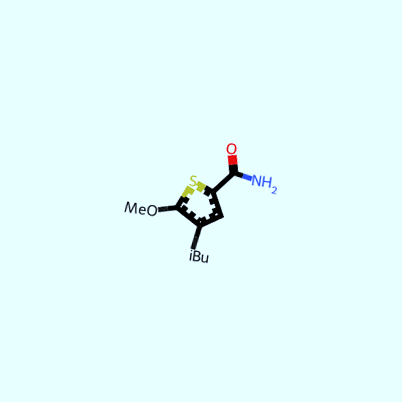 CCC(C)c1cc(C(N)=O)sc1OC